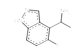 CC(N)c1c(F)ccc2[nH]ncc12